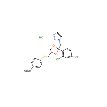 CC(=O)Nc1ccc(SCC2COC(Cn3ccnc3)(c3ccc(Cl)cc3Cl)O2)cc1.Cl